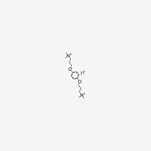 C[N+](C)(C)CCCOc1ccc(OCCC[N+](C)(C)C)cc1.[I-].[I-]